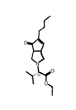 CCCCC1=CC2CN([C@H](C(=O)OCC)C(C)C)CC2C1=O